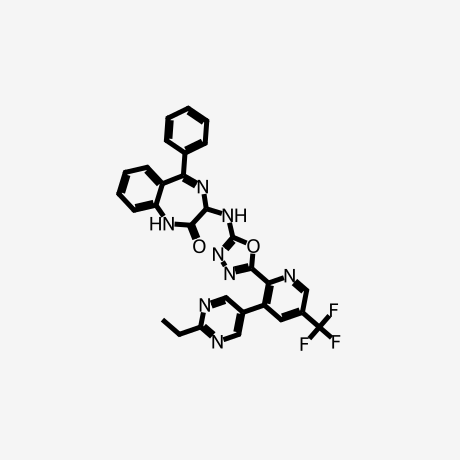 CCc1ncc(-c2cc(C(F)(F)F)cnc2-c2nnc(NC3N=C(c4ccccc4)c4ccccc4NC3=O)o2)cn1